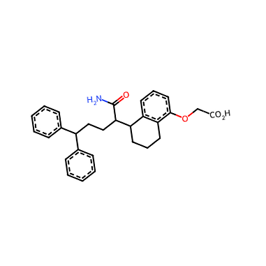 NC(=O)C(CCC(c1ccccc1)c1ccccc1)C1CCCc2c(OCC(=O)O)cccc21